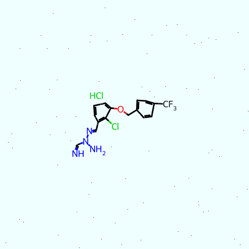 Cl.N=CN(N)/N=C/c1cccc(OCc2ccc(C(F)(F)F)cc2)c1Cl